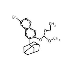 CCOC(OC)Oc1cc2ccc(Br)cc2cc1C12CC3CC(CC(C3)C1)C2